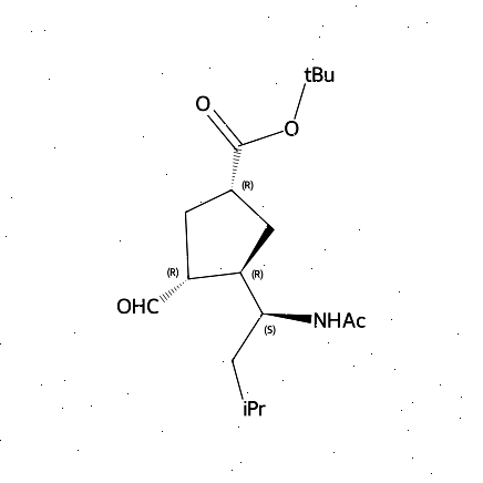 CC(=O)N[C@@H](CC(C)C)[C@@H]1C[C@@H](C(=O)OC(C)(C)C)C[C@H]1C=O